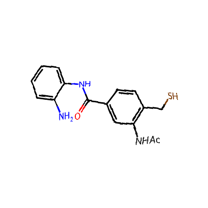 CC(=O)Nc1cc(C(=O)Nc2ccccc2N)ccc1CS